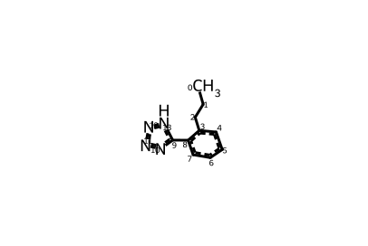 CCCc1ccccc1-c1nnn[nH]1